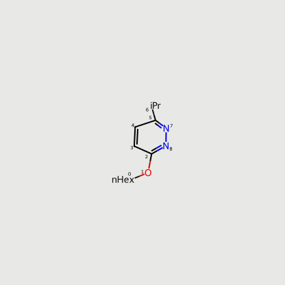 CCCCCCOc1ccc(C(C)C)nn1